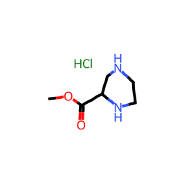 COC(=O)C1CNCCN1.Cl